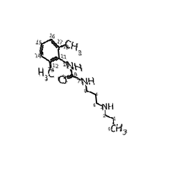 CCCNCCCNC(=O)Nc1c(C)cccc1C